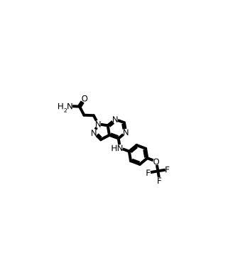 NC(=O)CCn1ncc2c(Nc3ccc(OC(F)(F)F)cc3)ncnc21